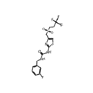 O=C(NCc1cccc(F)c1)Nc1nc(CS(=O)(=O)CCC(F)(F)F)cs1